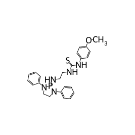 COc1ccc(NC(=S)NCCNP2N(c3ccccc3)CCN2c2ccccc2)cc1